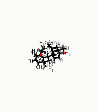 [2H]OC(=O)[C@@](C)(Oc1nc(C([2H])([2H])[2H])c([2H])c(C([2H])([2H])C)n1)C(OC([2H])(C)C)(c1c([2H])c([2H])c(C)c(C)c1[2H])c1c([2H])c([2H])c([2H])c(C)c1C